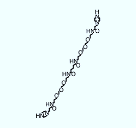 O=C(CCCC(=O)NCCCOCCOCCOCCCNC(=O)CCN1CCNCC1)NCCCOCCOCCOCCCNC(=O)CCN1CCNCC1